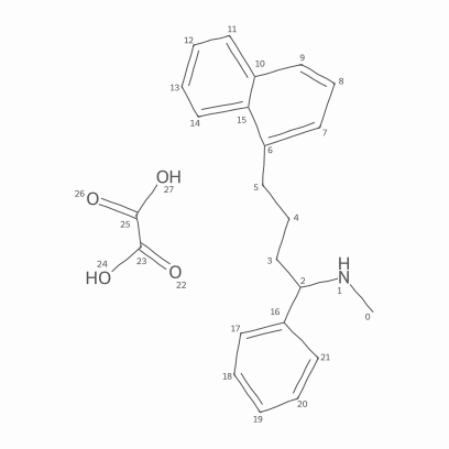 CNC(CCCc1cccc2ccccc12)c1ccccc1.O=C(O)C(=O)O